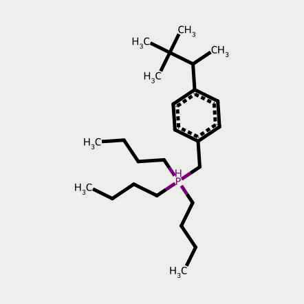 CCCC[PH](CCCC)(CCCC)Cc1ccc(C(C)C(C)(C)C)cc1